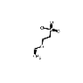 C=COCCS(=O)(=O)Cl